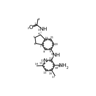 CC(=O)N[C@H]1CCc2cc(Nc3nc(C)cc(C)c3N)ccc21